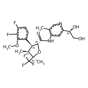 COc1c([C@H]2[C@H](C(=O)Nc3cc([C@@H](O)CO)ncc3C)O[C@@](C)(C(F)(F)F)[C@H]2C)ccc(F)c1F